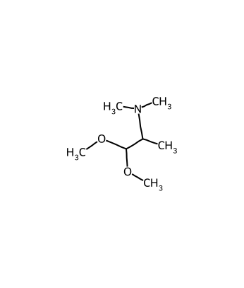 COC(OC)C(C)N(C)C